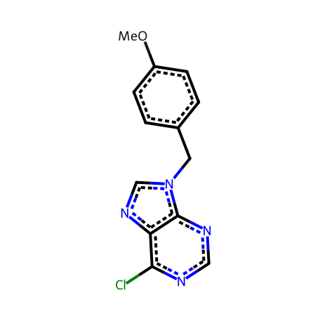 COc1ccc(Cn2cnc3c(Cl)ncnc32)cc1